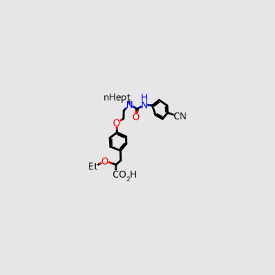 CCCCCCCN(CCOc1ccc(CC(OCC)C(=O)O)cc1)C(=O)Nc1ccc(C#N)cc1